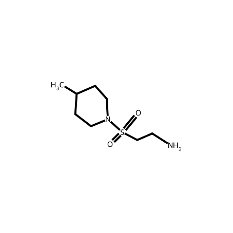 CC1CCN(S(=O)(=O)CCN)CC1